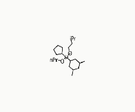 CCCO[Si](OCCC(C)C)(C1CCCC1)C1CC(C)CC(C)C1